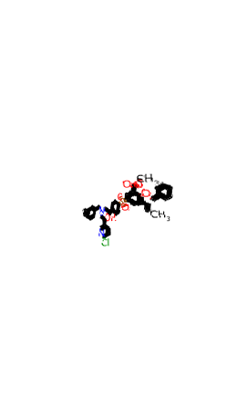 CCCc1cc(S(=O)(=O)c2ccc(CCN(Cc3ccccc3)C[C@H](O)c3ccc(Cl)nc3)cc2)cc(C(=O)OC)c1OCc1ccccc1